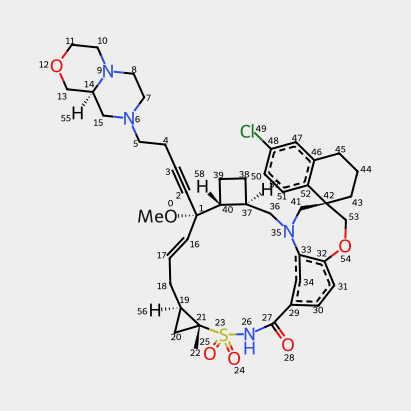 CO[C@@]1(C#CCCN2CCN3CCOC[C@@H]3C2)/C=C/C[C@@H]2C[C@@]2(C)S(=O)(=O)NC(=O)c2ccc3c(c2)N(C[C@@H]2CC[C@H]21)C[C@@]1(CCCc2cc(Cl)ccc21)CO3